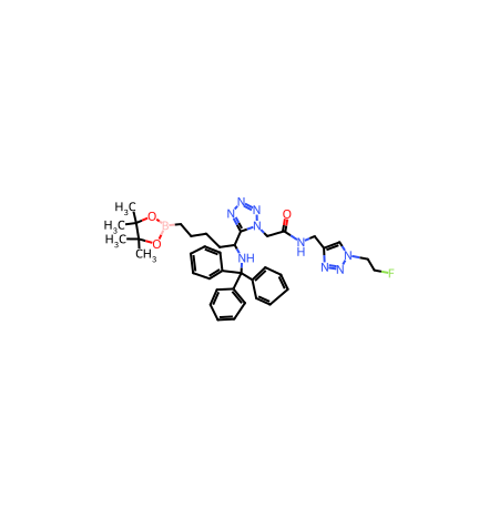 CC1(C)OB(CCCCC(NC(c2ccccc2)(c2ccccc2)c2ccccc2)c2nnnn2CC(=O)NCc2cn(CCF)nn2)OC1(C)C